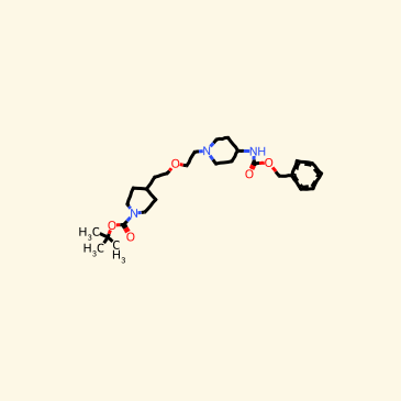 CC(C)(C)OC(=O)N1CCC(CCOCCN2CCC(NC(=O)OCc3ccccc3)CC2)CC1